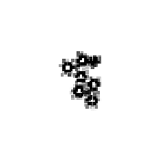 [C]=O.[C]=O.[Ni].c1ccc(P(c2ccccc2)c2ccccc2)cc1.c1ccc(P(c2ccccc2)c2ccccc2)cc1